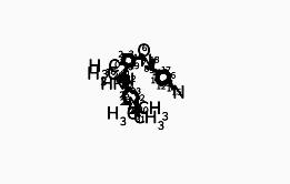 Cc1ccc(C(=O)N2CC(c3ccc(C#N)cc3)C2)cc1-c1nc(C2CCN(C(C)(C)C)CC2)[nH]c1C